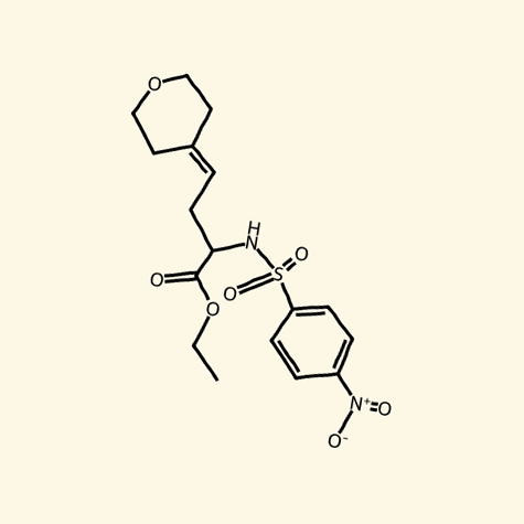 CCOC(=O)C(CC=C1CCOCC1)NS(=O)(=O)c1ccc([N+](=O)[O-])cc1